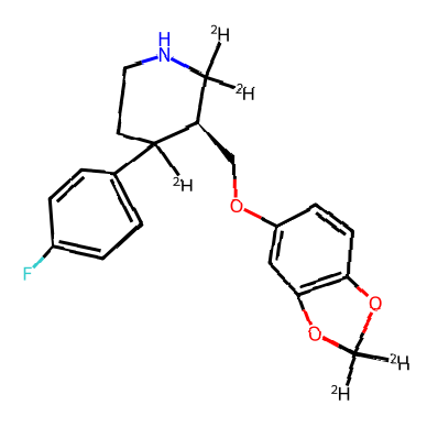 [2H]C1([2H])Oc2ccc(OC[C@@H]3C([2H])([2H])NCCC3([2H])c3ccc(F)cc3)cc2O1